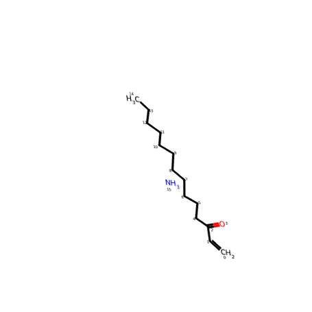 C=CC(=O)CCCCCCCCCCC.N